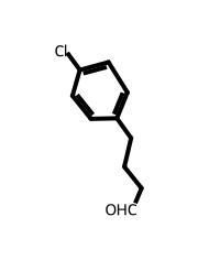 O=CCCCc1ccc(Cl)cc1